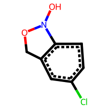 ON1OCc2cc(Cl)ccc21